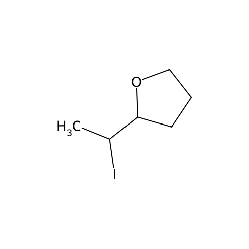 CC(I)C1CCCO1